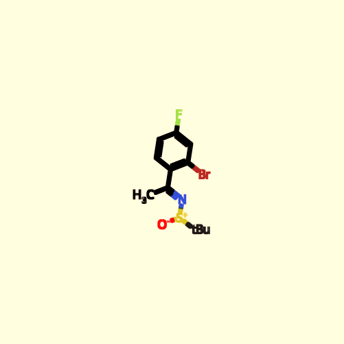 CC(=N[S+]([O-])C(C)(C)C)c1ccc(F)cc1Br